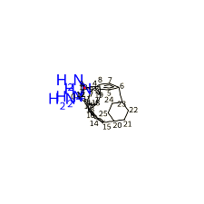 Nc1c(N)c2cc3cc4c(N)c(N)c5cc(cc1c5c24)C1CCC3CC1